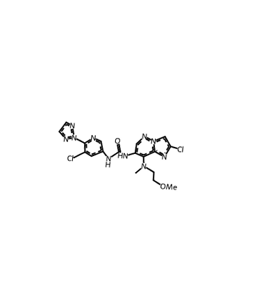 COCCN(C)c1c(NC(=O)Nc2cnc(-n3nccn3)c(Cl)c2)cnn2cc(Cl)nc12